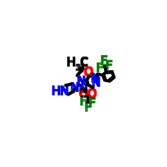 CC#CCN1c2c(cnn(Cc3ccccc3C(F)(F)F)c2=O)N(OC(=O)C(F)(F)F)C1N1CCNCC1